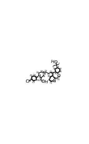 CC(C)(O)c1ccc2c(c1)/C(=C/CCN1CCN(c3ccc(Cl)cc3)C(CO)C1)c1cccnc1CO2